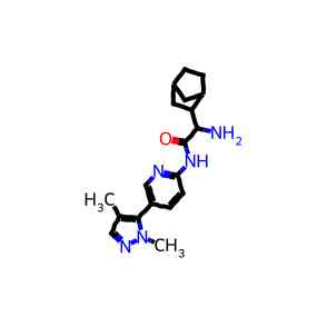 Cc1cnn(C)c1-c1ccc(NC(=O)C(N)C2CC3CCC2C3)nc1